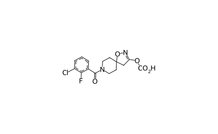 O=C(O)OC1=NOC2(CCN(C(=O)c3cccc(Cl)c3F)CC2)C1